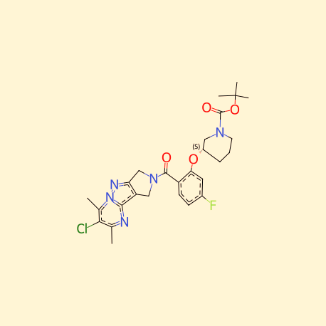 Cc1nc2c3c(nn2c(C)c1Cl)CN(C(=O)c1ccc(F)cc1O[C@H]1CCCN(C(=O)OC(C)(C)C)C1)C3